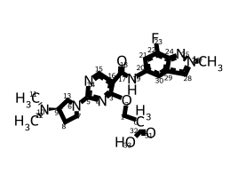 CCOc1nc(N2CC[C@@H](N(C)C)C2)ncc1C(=O)Nc1cc(F)c2nn(C)cc2c1.O=CO